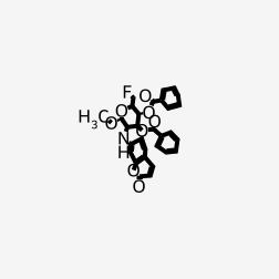 CO[C@H]1OC(CF)[C@@H](OC(=O)c2ccccc2)C(OC(=O)c2ccccc2)C1Nc1ccc2ccc(=O)oc2c1